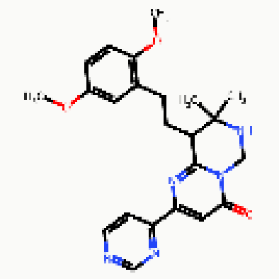 COc1ccc(OC)c(CCC2c3nc(-c4ccncn4)cc(=O)n3CNC2(C)C)c1